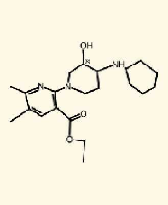 CCOC(=O)c1cc(C)c(C)nc1N1CCC(NC2CCCCC2)[C@H](O)C1